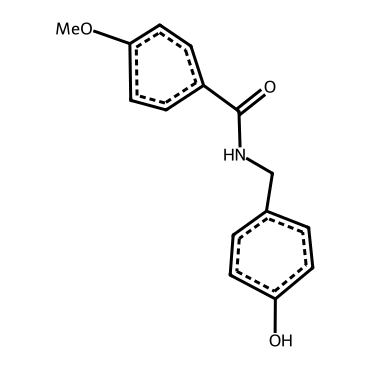 COc1ccc(C(=O)NCc2ccc(O)cc2)cc1